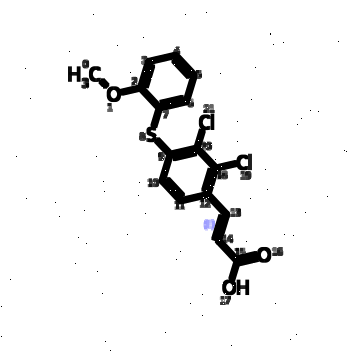 COc1ccccc1Sc1ccc(/C=C/C(=O)O)c(Cl)c1Cl